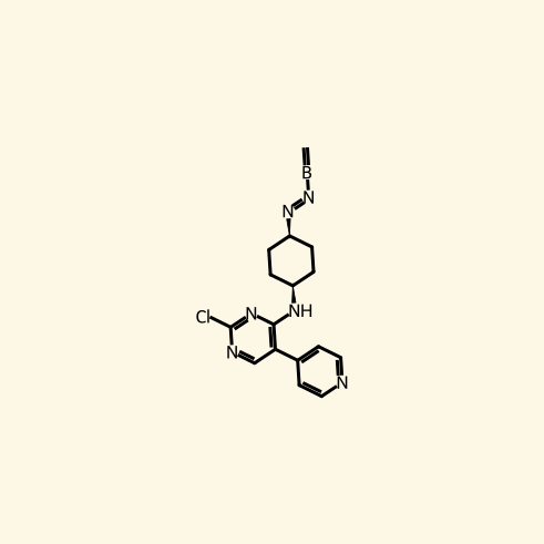 C=BN=N[C@H]1CC[C@@H](Nc2nc(Cl)ncc2-c2ccncc2)CC1